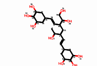 CC(O)C(/C=C/C1CC(O)C(O)C(O)C1)CC(/C=C/C1CC(O)C(O)C(O)C1)C(O)CO